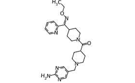 CCO/N=C(\c1ccccn1)C1CCN(C(=O)C2CCN(Cc3cnc(N)nc3)CC2)CC1